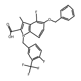 Cc1c(C(=O)O)n(Cc2ccc(F)c(C(F)(F)F)c2)c2ccc(OCc3ccccc3)c(F)c12